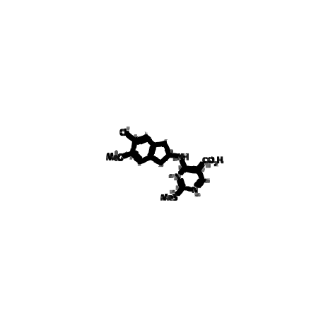 COc1cc2c(cc1Cl)CC(Nc1nc(SC)ncc1C(=O)O)C2